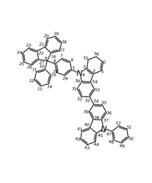 C1=Cc2c(n(-c3ccc(C4(c5ccccc5)c5ccccc5-c5ccccc54)cc3)c3ccc(-c4ccc5c(c4)c4ccccc4n5-c4ccccc4)cc23)CC1